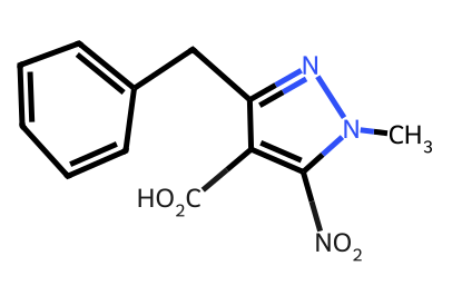 Cn1nc(Cc2ccccc2)c(C(=O)O)c1[N+](=O)[O-]